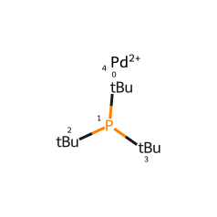 CC(C)(C)P(C(C)(C)C)C(C)(C)C.[Pd+2]